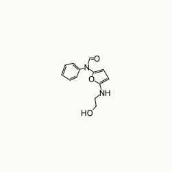 O=CN(c1ccccc1)c1ccc(NCCO)o1